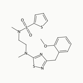 COc1ccccc1Cc1nsc(N(C)CCN(C)S(=O)(=O)c2cccs2)n1